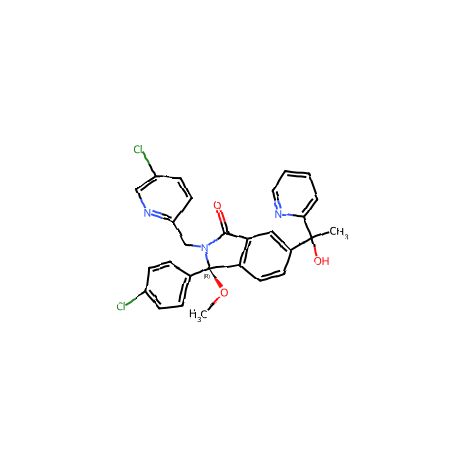 CO[C@]1(c2ccc(Cl)cc2)c2ccc(C(C)(O)c3ccccn3)cc2C(=O)N1Cc1ccc(Cl)cn1